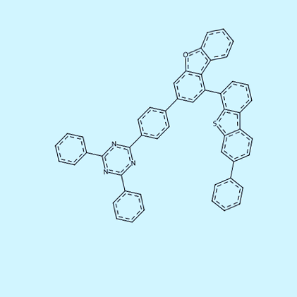 c1ccc(-c2ccc3c(c2)sc2c(-c4cc(-c5ccc(-c6nc(-c7ccccc7)nc(-c7ccccc7)n6)cc5)cc5oc6ccccc6c45)cccc23)cc1